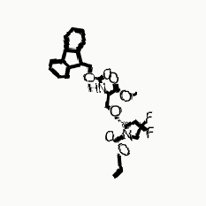 C=CCOC(=O)N1CC(F)(F)C[C@H]1COCC(NC(=O)OCC1c2ccccc2-c2ccccc21)C(=O)OC